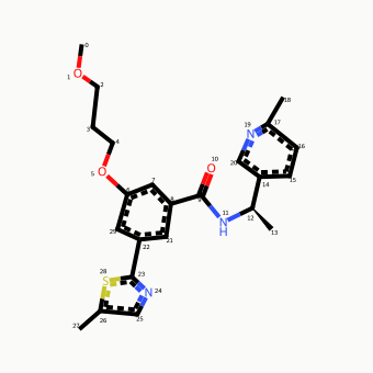 COCCCOc1cc(C(=O)N[C@H](C)c2ccc(C)nc2)cc(-c2ncc(C)s2)c1